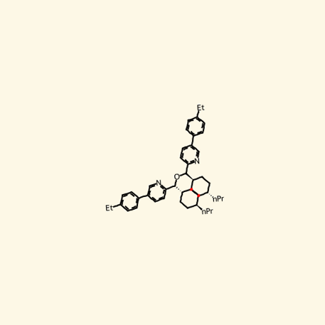 CCC[C@H]1CC[C@H](C(OC(c2ccc(-c3ccc(CC)cc3)cn2)[C@H]2CC[C@H](CCC)CC2)c2ccc(-c3ccc(CC)cc3)cn2)CC1